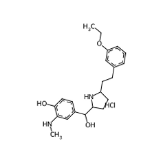 CCOc1cccc(CCC2CCC(C(O)c3ccc(O)c(NC)c3)N2)c1.Cl